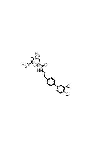 CC[C@H](OC(N)=O)C(=O)NCCc1ccc(-c2ccc(Cl)c(Cl)c2)cc1